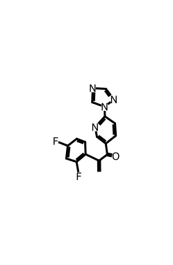 C=C(C(=O)c1ccc(-n2cncn2)nc1)c1ccc(F)cc1F